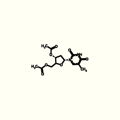 CC(=O)OCC1O[C@@H](n2cc(C)c(=O)[nH]c2=O)C[C@H]1OC(C)=O